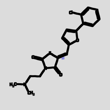 CN(C)CCN1C(=O)S/C(=C\c2ccc(-c3ccccc3Cl)o2)C1=O